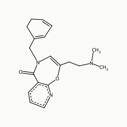 CN(C)CCC1=CN(CC2=CC=CCC2)C(=O)c2cccnc2O1